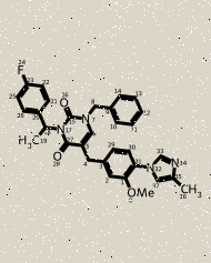 COc1cc(Cc2cn(Cc3ccccc3)c(=O)n(C(C)c3ccc(F)cc3)c2=O)ccc1-n1cnc(C)c1